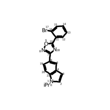 CC(C)n1ccc2cc(-c3noc(-c4ccccc4Br)n3)ccc21